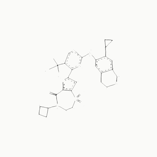 O=C1c2sc(-c3nc(Nc4cc5c(cc4C4CC4)CNCC5)ncc3C(F)(F)F)cc2S(=O)(=O)CCN1C1CCC1